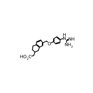 N=C(N)Nc1ccc(OCc2ccc3c(c2)CC(CC(=O)O)CC3)cc1